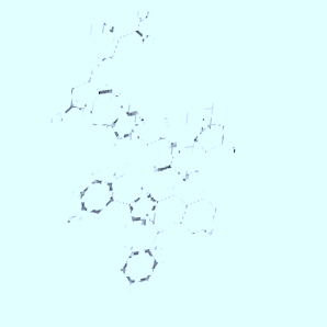 C[C@@H](Cn1cc(CN2C(=O)CC(SC[C@H](N)C(=O)O)C2=O)nn1)NC(=O)N(C[C@@H]1CNC[C@@H]1F)[C@@H](c1nc(-c2cc(F)ccc2F)cn1Cc1ccccc1)C1CCOCC1